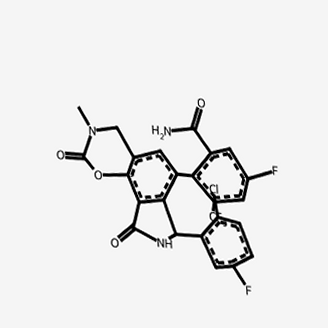 CN1Cc2cc(-c3c(C(N)=O)cc(F)cc3C(F)(F)F)c3c(c2OC1=O)C(=O)NC3c1cc(F)ccc1Cl